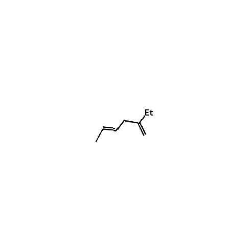 C=C(CC)C/C=C/C